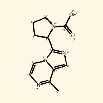 Cc1nccn2c(C3CCCN3C(=O)O)ncc12